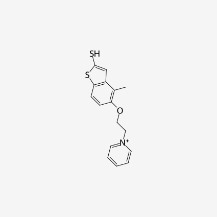 Cc1c(OCC[n+]2ccccc2)ccc2sc(S)cc12